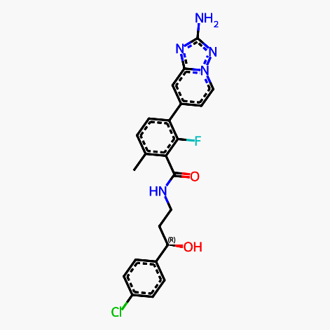 Cc1ccc(-c2ccn3nc(N)nc3c2)c(F)c1C(=O)NCC[C@@H](O)c1ccc(Cl)cc1